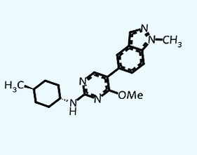 COc1nc(N[C@H]2CC[C@H](C)CC2)ncc1-c1ccc2c(cnn2C)c1